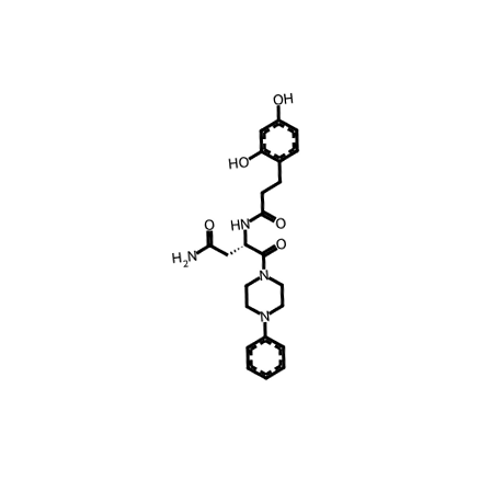 NC(=O)C[C@H](NC(=O)CCc1ccc(O)cc1O)C(=O)N1CCN(c2ccccc2)CC1